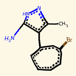 Cc1n[nH]c(N)c1-c1ccccc1Br